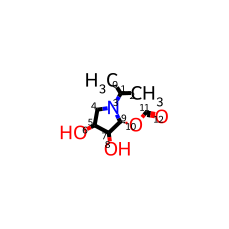 CC(C)N1CC(O)C(O)[C@H]1OC=O